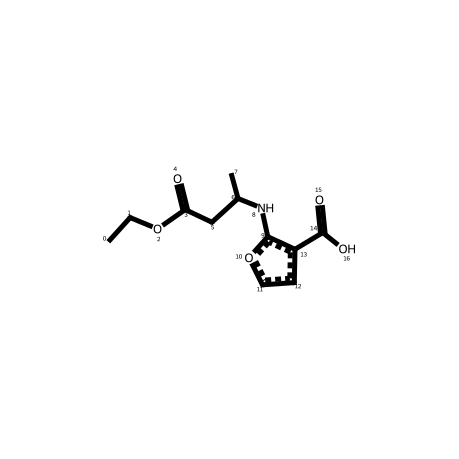 CCOC(=O)CC(C)Nc1occc1C(=O)O